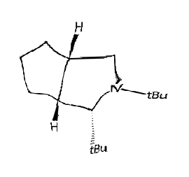 CC(C)(C)[C@@H]1[C@@H]2CCC[C@@H]2CN1C(C)(C)C